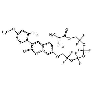 C=C(C)C(=O)OCC(F)(F)OC(F)(F)OC(F)(F)OC(F)(F)COc1ccc2cc(-c3ccc(OC)cc3C)c(=O)oc2c1